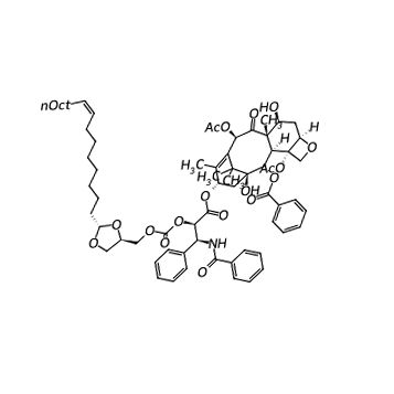 CCCCCCCC/C=C\CCCCCCC[C@H]1OC[C@H](COC(=O)O[C@@H](C(=O)O[C@H]2C[C@@]3(O)[C@@H](OC(=O)c4ccccc4)[C@@H]4[C@]5(OC(C)=O)CO[C@@H]5C[C@H](O)[C@@]4(C)C(=O)[C@H](OC(C)=O)C(=C2C)C3(C)C)[C@@H](NC(=O)c2ccccc2)c2ccccc2)O1